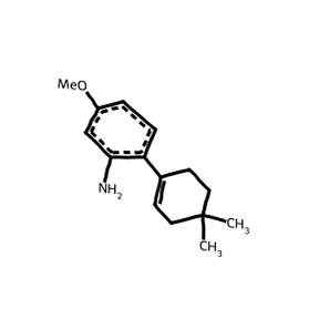 COc1ccc(C2=CCC(C)(C)CC2)c(N)c1